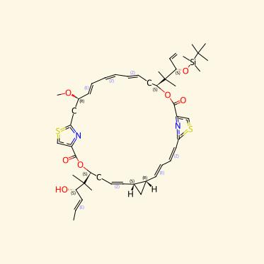 C=C[C@H](O[Si](C)(C)C(C)(C)C)C(C)(C)[C@@H]1C\C=C/C=C\C=C\[C@H](OC)Cc2nc(cs2)C(=O)O[C@H](C(C)(C)[C@@H](O)/C=C/C)C/C=C\[C@H]2C[C@H]2/C=C/C=C\c2nc(cs2)C(=O)O1